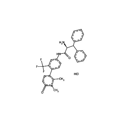 Cc1c(-c2ccc(NC(=O)[C@@H](N)C(c3ccccc3)c3ccccc3)cc2C(F)(F)F)ccc(=O)n1C.Cl